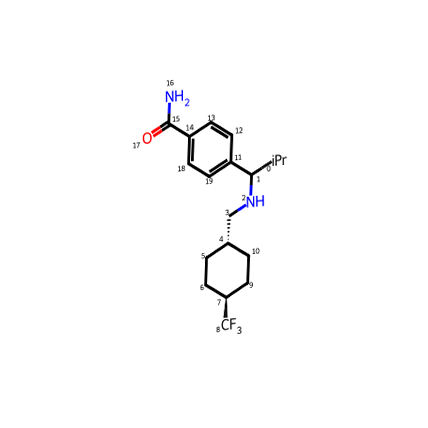 CC(C)C(NC[C@H]1CC[C@H](C(F)(F)F)CC1)c1ccc(C(N)=O)cc1